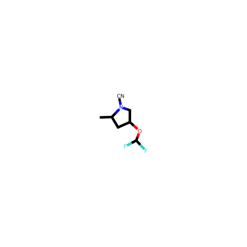 CC1CC(OC(F)F)CN1C#N